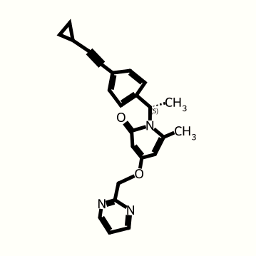 Cc1cc(OCc2ncccn2)cc(=O)n1[C@@H](C)c1ccc(C#CC2CC2)cc1